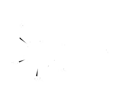 CC(=O)O[C@H]1[C@@H](O)[C@@H](CO)OC(OCCCBr)[C@@H]1OC(C)=O